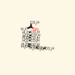 CC(=O)O.CC(=O)O.CC(=O)O.CC(=O)O.CC(=O)O.CC(=O)O.CC(=O)O.CC(=O)O.CC(O)C(=O)O